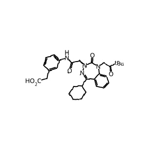 CC(C)(C)C(=O)CN1C(=O)N(CC(=O)Nc2cccc(CC(=O)O)c2)N=C(C2CCCCC2)c2ccccc21